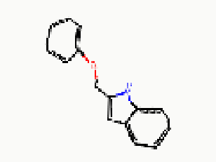 [c]1ccccc1OCc1cc2ccccc2[nH]1